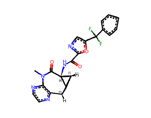 CN1C(=O)[C@@]2(NC(=O)c3ncc(C(F)(F)c4ccccc4)o3)C3[C@@H](c4nccnc41)[C@H]32